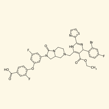 CCOC(=O)C1=C(CN2CCN3C(=O)N(c4cc(F)cc(Oc5ccc(C(=O)O)cc5F)c4)CC3C2)NC(c2nccs2)=NC1c1ccc(F)cc1Br